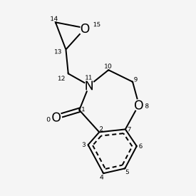 O=C1c2ccccc2OCCN1CC1CO1